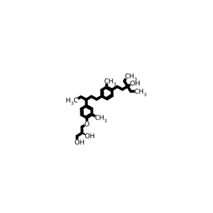 CCC(CCc1ccc(CCC(O)(CC)CC)c(C)c1)c1ccc(OC[C@@H](O)CO)c(C)c1